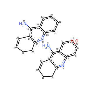 Nc1c2c(nc3ccccc13)CCC=C2.Nc1c2c(nc3ccccc13)CCC=C2.O